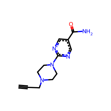 C#CCN1CCN(c2ncc(C(N)=O)cn2)CC1